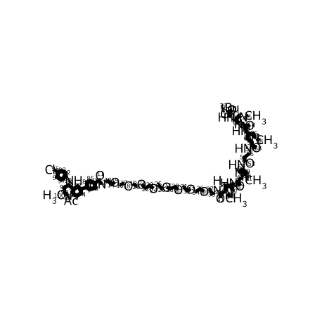 CC(=O)N1c2ccc(-c3ccc(C(=O)NCCOCCOCCOCCOCCOCCOCCOCCOCCNC(=O)c4cc(NC(=O)c5nc(NC(=O)CCNC(=O)c6cc(NC(=O)c7nc(NC(=O)OC(C)(C)C)cn7C)cn6C)cn5C)cn4C)cc3)cc2[C@H](Nc2ccc(Cl)cc2)C[C@@H]1C